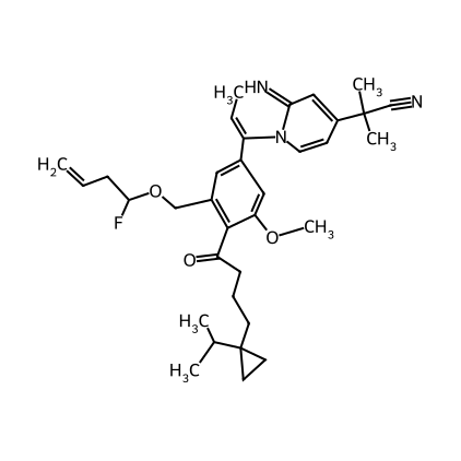 C=CCC(F)OCc1cc(/C(=C/C)n2ccc(C(C)(C)C#N)cc2=N)cc(OC)c1C(=O)CCCC1(C(C)C)CC1